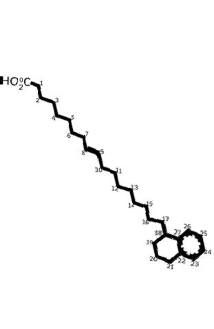 O=C(O)CCCCCCC/C=C/CCCCCCCCC1CCCc2ccccc21